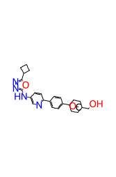 OCC12CCC(c3ccc(-c4ccc(Nc5nnc(C6CCC6)o5)cn4)cc3)(CC1)OC2